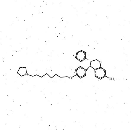 Oc1ccc2c(c1)OC[C@@H](c1ccccc1)[C@@H]2c1ccc(OCCCCCCCCN2CCCC2)cc1